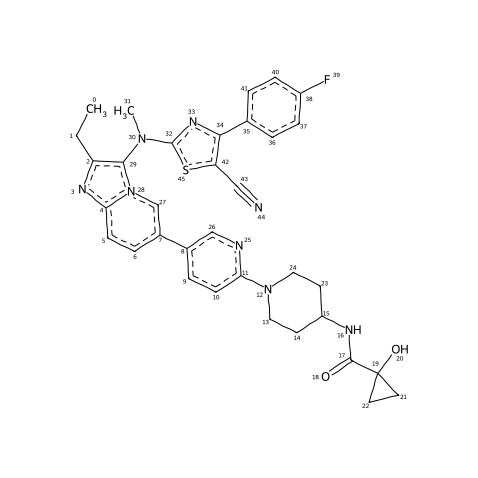 CCc1nc2ccc(-c3ccc(N4CCC(NC(=O)C5(O)CC5)CC4)nc3)cn2c1N(C)c1nc(-c2ccc(F)cc2)c(C#N)s1